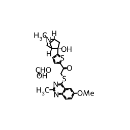 COc1ccc2nc(C)nc(SCC(=O)c3ccc([C@]4(O)C[C@@H]5C[C@H]4CN5C)s3)c2c1.O=CO